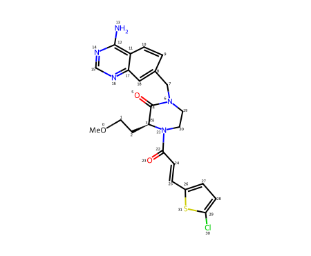 COCC[C@H]1C(=O)N(Cc2ccc3c(N)ncnc3c2)CCN1C(=O)C=Cc1ccc(Cl)s1